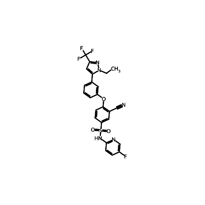 CCn1nc(C(F)(F)F)cc1-c1cccc(Oc2ccc(S(=O)(=O)Nc3ccc(F)cn3)cc2C#N)c1